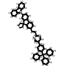 CCC1(CC)c2cc(/C=C/c3ncc(-c4ccc(C(c5ccccc5)(c5ccccc5)c5ccccc5)cc4)cn3)ccc2-c2ccc(-n3c4ccccc4c4ccccc43)cc21